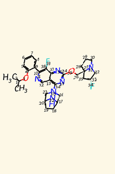 CC(C)Oc1ccccc1-c1ncc2c(N3CC4CCC(C3)N4)nc(OC[C@@]34CCCN3C[C@H](F)C4)nc2c1F